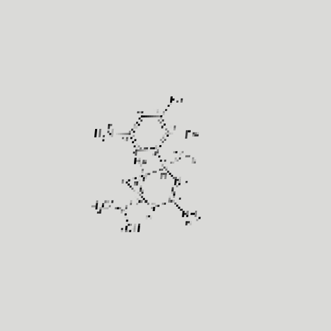 CC(O)[C@]12C[C@H]1[C@@](C)(c1cc(N)cc(F)c1F)N=C(N)S2